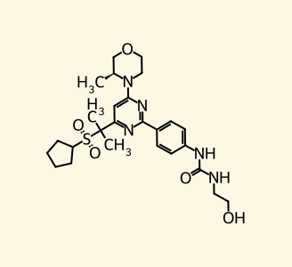 C[C@H]1COCCN1c1cc(C(C)(C)S(=O)(=O)C2CCCC2)nc(-c2ccc(NC(=O)NCCO)cc2)n1